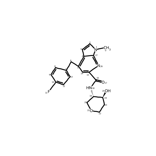 Cn1ccc2c(Cc3ccc(F)cc3)cc(C(=O)N[C@H]3COCC[C@@H]3O)nc21